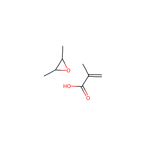 C=C(C)C(=O)O.CC1OC1C